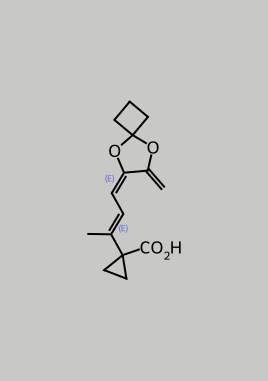 C=C1OC2(CCC2)O/C1=C/C=C(\C)C1(C(=O)O)CC1